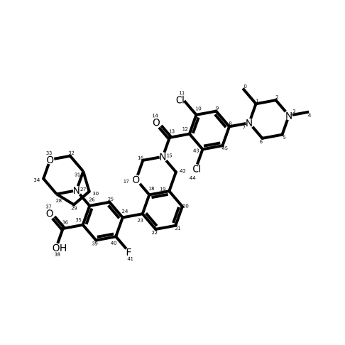 CC1CN(C)CCN1c1cc(Cl)c(C(=O)N2COc3c(cccc3-c3cc(N4C5CCC4COC5)c(C(=O)O)cc3F)C2)c(Cl)c1